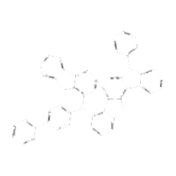 c1ccc(-c2ccc(N(c3cccc4c3oc3ccccc34)c3cccc4oc5c(ccc6c5c5ccccc5n6-c5ccccc5)c34)cc2)cc1